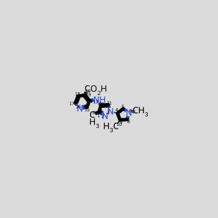 Cc1nn([C@@H]2CN(C)C[C@@H]2C)cc1Nc1cnccc1C(=O)O